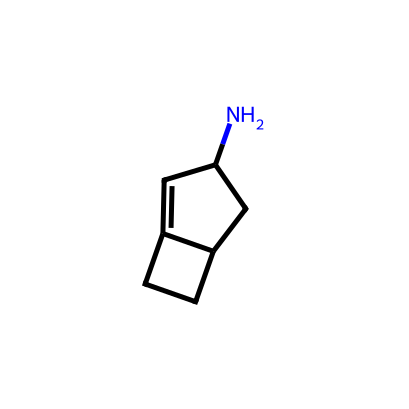 NC1C=C2CCC2C1